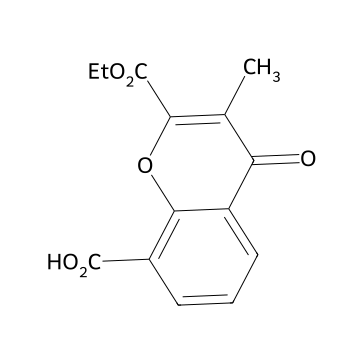 CCOC(=O)c1oc2c(C(=O)O)cccc2c(=O)c1C